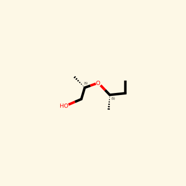 CC[C@H](C)O[C@@H](C)CO